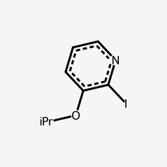 CC(C)Oc1cccnc1I